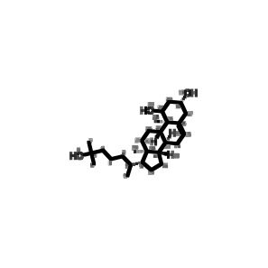 CC(CCCC(C)(C)O)[C@H]1CC[C@H]2[C@@H]3CC=C4C[C@@H](O)CC(O)[C@]4(C)[C@H]3CC[C@]12C